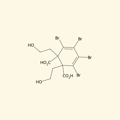 O=C(O)C1(CCO)C(Br)=C(Br)C(Br)=C(Br)C1(CCO)C(=O)O